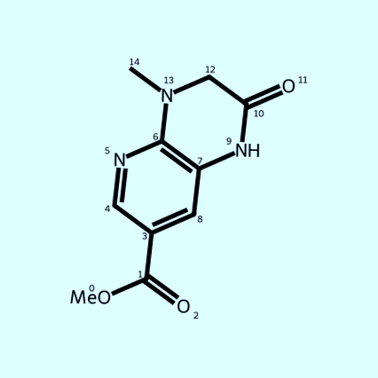 COC(=O)c1cnc2c(c1)NC(=O)CN2C